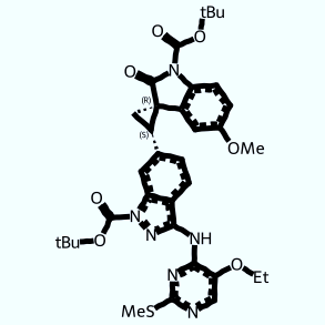 CCOc1cnc(SC)nc1Nc1nn(C(=O)OC(C)(C)C)c2cc([C@@H]3C[C@@]34C(=O)N(C(=O)OC(C)(C)C)c3ccc(OC)cc34)ccc12